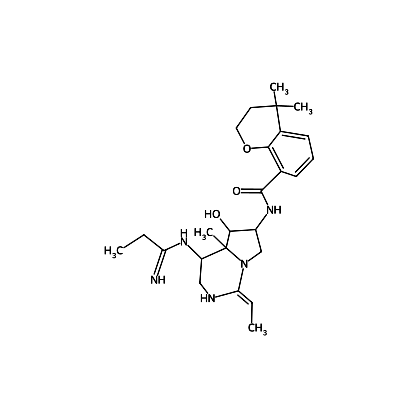 C/C=C1\NCC(NC(=N)CC)C2(C)C(O)C(NC(=O)c3cccc4c3OCCC4(C)C)CN12